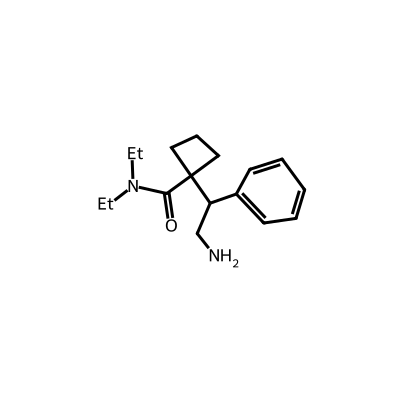 CCN(CC)C(=O)C1(C(CN)c2ccccc2)CCC1